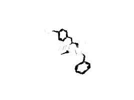 CC(=O)NC(Cc1ccc(Cl)cc1)C(=O)OCc1ccccc1